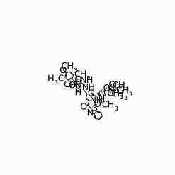 COc1cc(C)c(S(=O)(=O)NC(=N)NCCCC(NC(=O)[C@@H]2C[C@@H](O[Si](C)(C)C(C)(C)C)CN2C(C)=O)C(=O)c2nc3ccccc3s2)c(C)c1C